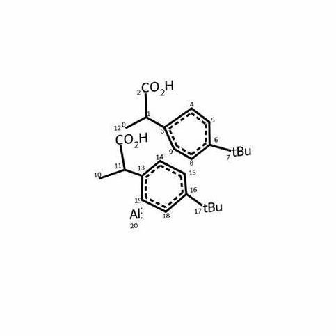 CC(C(=O)O)c1ccc(C(C)(C)C)cc1.CC(C(=O)O)c1ccc(C(C)(C)C)cc1.[Al]